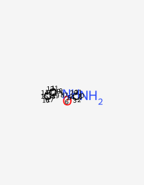 Nc1ccc(C(=O)NCCc2ccc3ccccc3c2)cc1